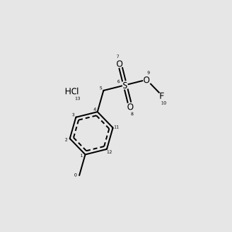 Cc1ccc(CS(=O)(=O)OF)cc1.Cl